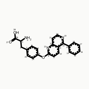 NC(Cc1ccc(Oc2ccc3c(-c4ccccc4)nccc3n2)cc1)C(=O)O